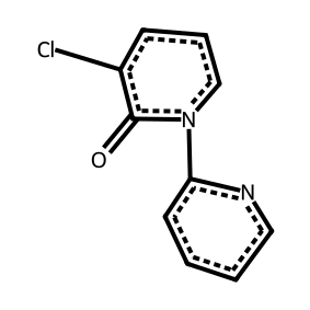 O=c1c(Cl)cccn1-c1ccccn1